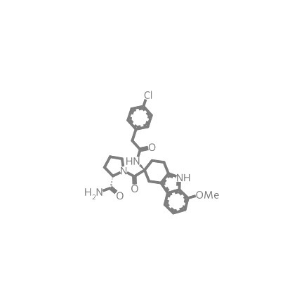 COc1cccc2c3c([nH]c12)CC[C@@](NC(=O)Cc1ccc(Cl)cc1)(C(=O)N1CCC[C@H]1C(N)=O)C3